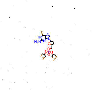 Nc1nc2c(ncn2[C@H]2CC[C@@H](COP(=O)(OC3CSSC3)OC3CSSC3)O2)c(=S)[nH]1